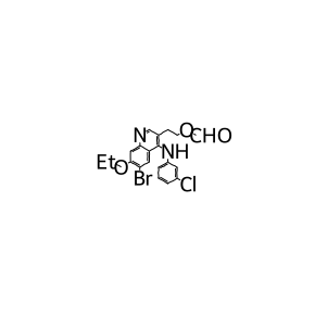 CCOc1cc2ncc(CCOC=O)c(Nc3cccc(Cl)c3)c2cc1Br